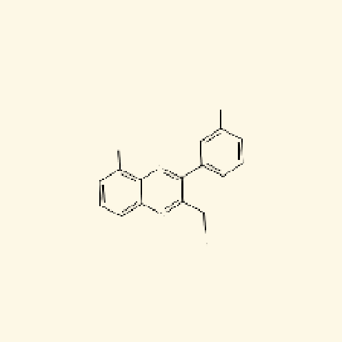 Fc1cccc(-c2nc3c(Cl)cccc3nc2CBr)c1